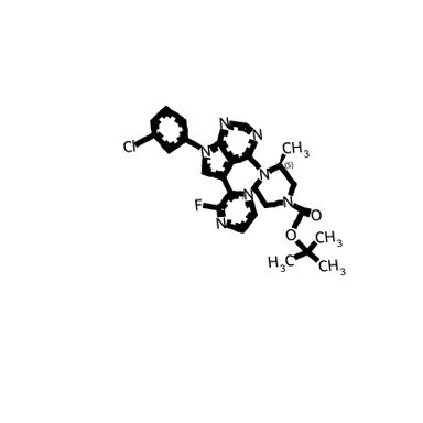 C[C@H]1CN(C(=O)OC(C)(C)C)CCN1c1ncnc2c1c(-c1nccnc1F)cn2-c1cccc(Cl)c1